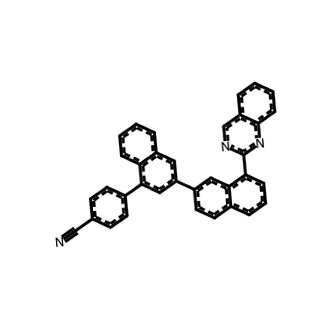 N#Cc1ccc(-c2cc(-c3ccc4cccc(-c5ncc6ccccc6n5)c4c3)cc3ccccc23)cc1